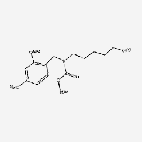 COc1ccc(CN(CCCCCC=O)C(=O)OC(C)(C)C)c(OC)c1